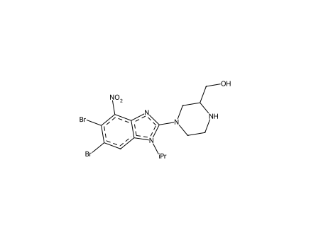 CC(C)n1c(N2CCNC(CO)C2)nc2c([N+](=O)[O-])c(Br)c(Br)cc21